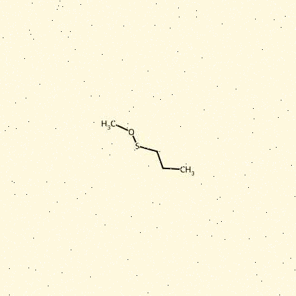 CC[CH]SOC